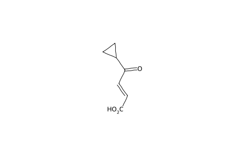 O=C(O)/C=C/C(=O)C1CC1